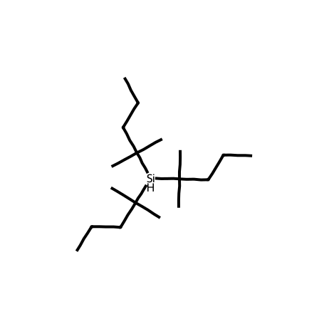 CCCC(C)(C)[SiH](C(C)(C)CCC)C(C)(C)CCC